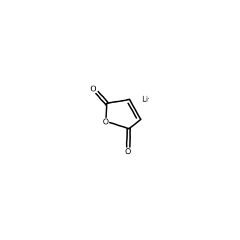 O=C1C=CC(=O)O1.[Li]